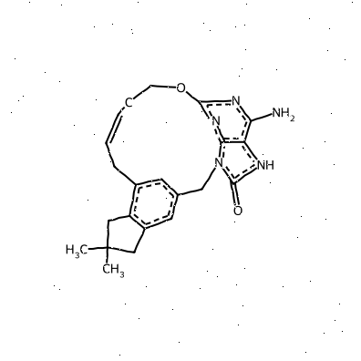 CC1(C)Cc2cc3cc(c2C1)C/C=C\CCOc1nc(N)c2[nH]c(=O)n(c2n1)C3